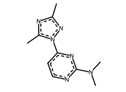 Cc1nc(C)n(-c2ccnc(N(C)C)n2)n1